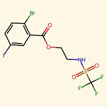 O=C(OCCNS(=O)(=O)C(F)(F)F)c1cc(I)ccc1Br